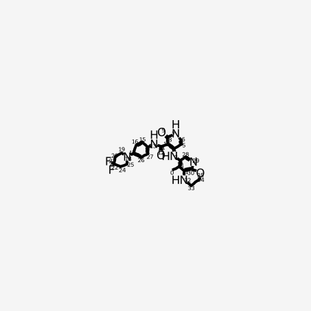 Cc1c(Nc2cc[nH]c(=O)c2C(=O)Nc2ccc(N3CCC(F)(F)CC3)cc2)cnc2c1NCCO2